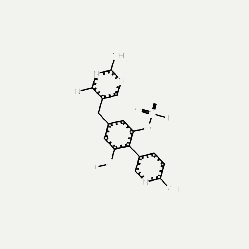 CCOc1cc(Cc2cnc(N)nc2N)cc(OS(=O)(=O)C(C)C)c1-c1ccc(C)nc1